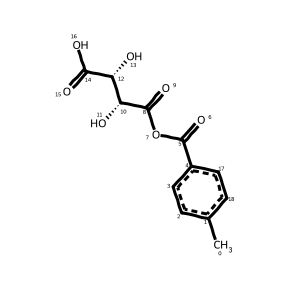 Cc1ccc(C(=O)OC(=O)[C@H](O)[C@@H](O)C(=O)O)cc1